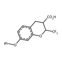 CC(C)Oc1ccc2c(c1)OC(C(F)(F)F)C(C(=O)O)C2